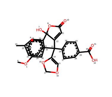 COc1ccc(C2(O)OC(=O)C=C2C(C2=COCO2)(c2ccc(C)cc2)c2ccc(C(=O)O)cc2)cc1